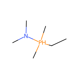 CC[PH](C)(C)N(C)C